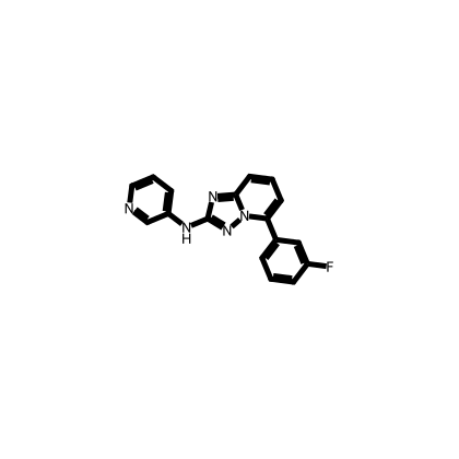 Fc1cccc(-c2cccc3nc(Nc4cccnc4)nn23)c1